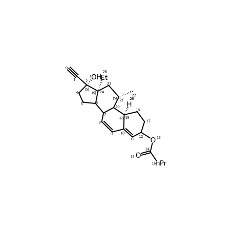 C#C[C@]1(O)CCC2C3C=CC4=CC(OC(=O)CCC)CC[C@@H]4C3[C@@H](C)C[C@@]21CC